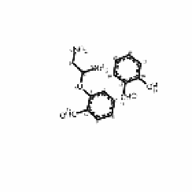 NCC(N)Oc1ccccc1C=O.O=Cc1ccccc1O